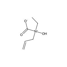 C=CC[N+](O)(CC)C(=O)[O-]